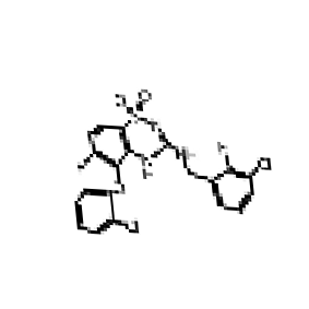 O=S1(=O)N=C(NCc2cccc(Cl)c2F)Nc2c1ccc(F)c2Oc1ccccc1Cl